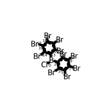 ClB(c1c(Br)c(Br)c(Br)c(Br)c1Br)c1c(Br)c(Br)c(Br)c(Br)c1Br